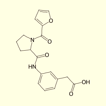 O=C(O)Cc1cccc(NC(=O)C2CCCN2C(=O)c2ccco2)c1